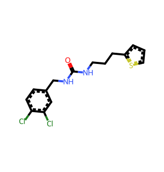 O=C(NCCCc1cccs1)NCc1ccc(Cl)c(Cl)c1